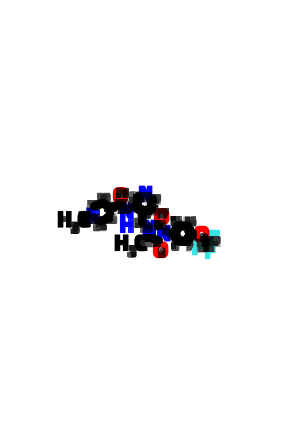 CC1C(=O)N(c2ccc(OC(F)(F)F)cc2)C(=O)N1Cc1ccncc1NC(=O)C1CCN(C)CC1